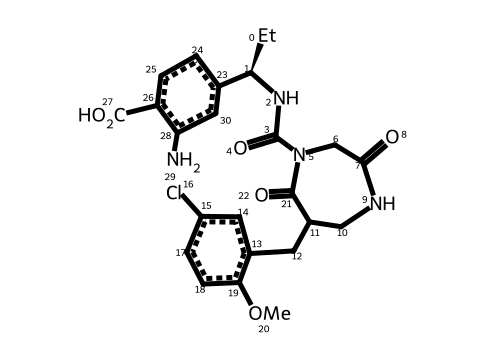 CC[C@@H](NC(=O)N1CC(=O)NCC(Cc2cc(Cl)ccc2OC)C1=O)c1ccc(C(=O)O)c(N)c1